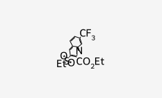 CCOC(=O)c1nc2cc(C(F)(F)F)ccc2cc1S(=O)(=O)CC